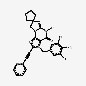 CCN1C(=O)c2c(nc(C#Cc3ccccc3)n2Cc2cc(Cl)c(C)c(Cl)c2)N2CC3(CCCC3)N=C12